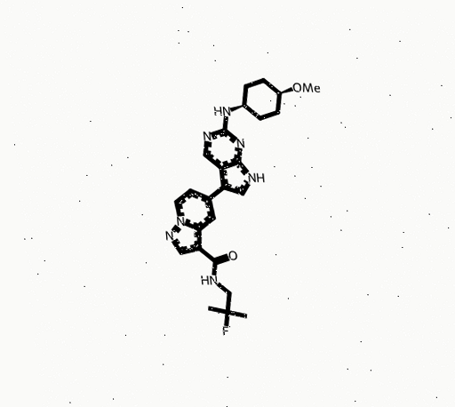 CO[C@H]1CC[C@@H](Nc2ncc3c(-c4ccn5ncc(C(=O)NCC(C)(C)F)c5c4)c[nH]c3n2)CC1